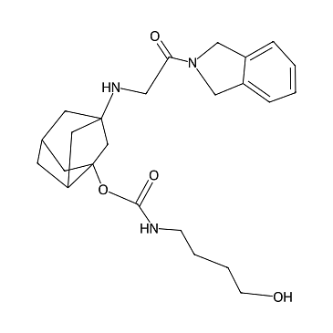 O=C(NCCCCO)OC12CC3CC1CC(NCC(=O)N1Cc4ccccc4C1)(C3)C2